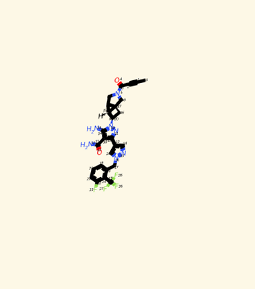 CC#CC(=O)N1CC2[C@@H]3[C@H](n4nc(-c5cnn(Cc6cccc(F)c6C(F)(F)F)c5)c(C(N)=O)c4N)C[C@]23C1